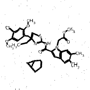 C1CC2CC2C1.CCC1(c2cc(OC)c(Cl)cc2OC)CSC(NC(=O)c2cc3cc(C)c(C)cc3n2CC(=O)OC)=N1